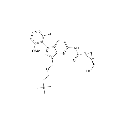 COc1cccc(F)c1-c1cn(COCC[Si](C)(C)C)c2nc(NC(=O)[C@@H]3C[C@H]3CO)ccc12